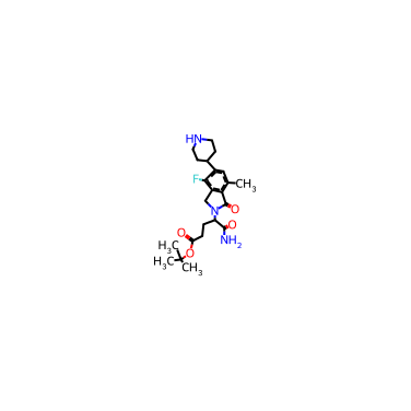 Cc1cc(C2CCNCC2)c(F)c2c1C(=O)N(C(CCC(=O)OC(C)(C)C)C(N)=O)C2